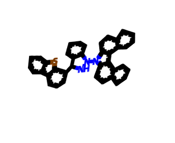 c1ccc2c(c1)C(c1cccc3c1sc1ccccc13)NN2n1c2ccc3ccccc3c2c2c3ccccc3ccc21